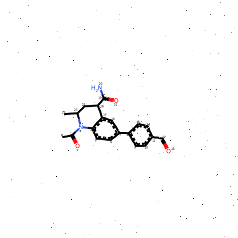 CC(=O)N1c2ccc(-c3ccc(C=O)cc3)cc2C(C(N)=O)CC1C